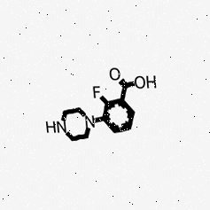 O=C(O)c1cccc(N2CCNCC2)c1F